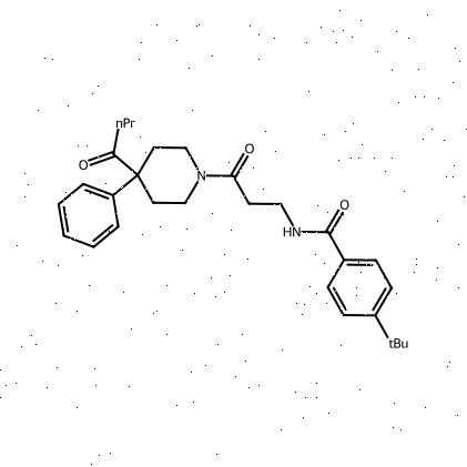 CCCC(=O)C1(c2ccccc2)CCN(C(=O)CCNC(=O)c2ccc(C(C)(C)C)cc2)CC1